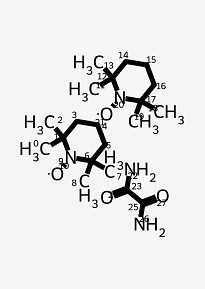 CC1(C)CCCC(C)(C)N1[O].CC1(C)CCCC(C)(C)N1[O].NC(=O)C(N)=O